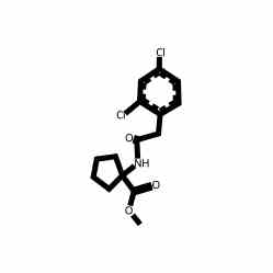 COC(=O)C1(NC(=O)Cc2ccc(Cl)cc2Cl)CCCC1